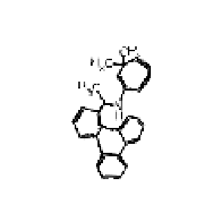 CC(NC1=CC(C)(C)C=CC=C1)c1cccc2c3ccccc3c3ccccc3c12